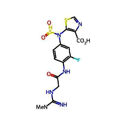 CNC(=N)NCC(=O)Nc1ccc(N(c2scnc2C(=O)O)[SH](=O)=O)cc1F